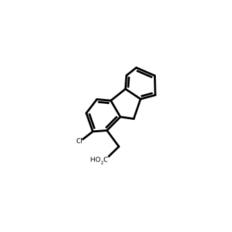 O=C(O)Cc1c(Cl)ccc2c1Cc1ccccc1-2